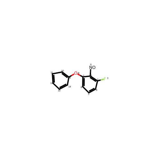 O=Nc1c(F)cccc1Oc1ccccc1